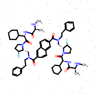 CN[C@@H](C)C(=O)N[C@H](C(=O)N1CC[C@H](F)[C@H]1CN(CCc1ccccc1)C(=O)c1ccc2cc(C(=O)N(CCc3ccccc3)C[C@@H]3[C@@H](F)CCN3C(=O)[C@@H](NC(=O)[C@H](C)NC)C3CCCCC3)ccc2c1)C1CCCCC1